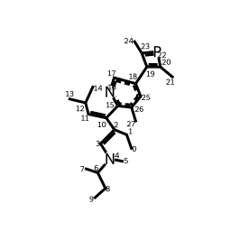 CCC(=C\N(C)C(C)CC)/C(=C/C(C)C)c1ncc(C2=C(C)P=C2C)cc1C